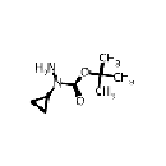 CC(C)(C)OC(=O)N(N)C1CC1